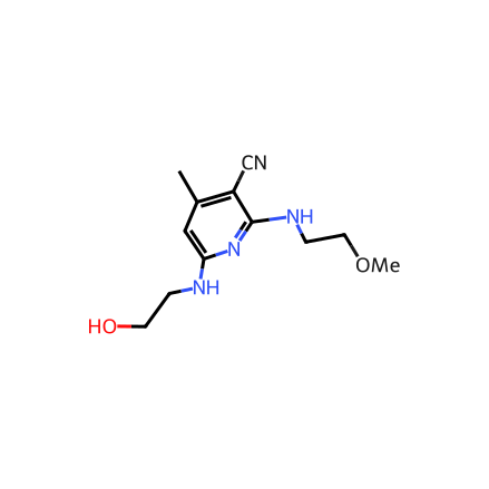 COCCNc1nc(NCCO)cc(C)c1C#N